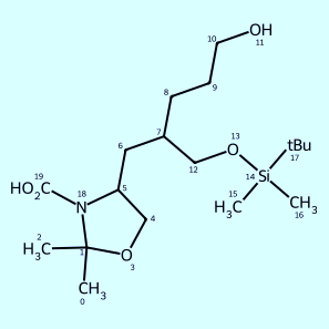 CC1(C)OCC(CC(CCCO)CO[Si](C)(C)C(C)(C)C)N1C(=O)O